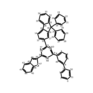 c1ccc(-c2cccc(-c3nc(-c4ccc5c(c4)C(c4ccccc4)(c4ccccc4)c4ccccc4-5)nc(-c4cc5ccccc5s4)n3)c2)cc1